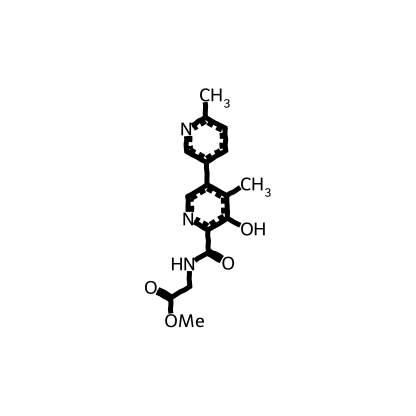 COC(=O)CNC(=O)c1ncc(-c2ccc(C)nc2)c(C)c1O